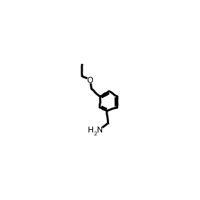 CCOCc1cccc(CN)c1